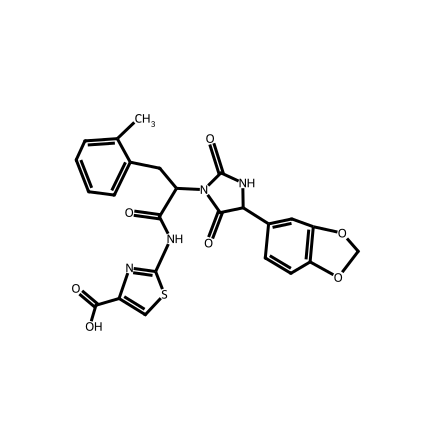 Cc1ccccc1CC(C(=O)Nc1nc(C(=O)O)cs1)N1C(=O)NC(c2ccc3c(c2)OCO3)C1=O